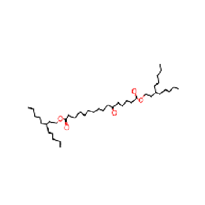 CCCCCC(CCCCC)CCOC(=O)CCCCCCCCCC(=O)CCCCC(=O)OCCC(CCCCC)CCCCC